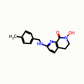 Cc1ccc(CNc2ccc3c(n2)C(=O)N(O)CC3)cc1